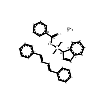 C(C=Cc1ccccc1)=Cc1ccccc1.[CH3][Ti]([CH3])([NH]C(=O)c1ccccc1)[CH]1C=Cc2ccccc21.[SiH4]